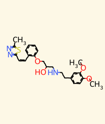 COc1ccc(CCNCC(O)COc2ccccc2/C=C\c2nnc(C)s2)cc1OC